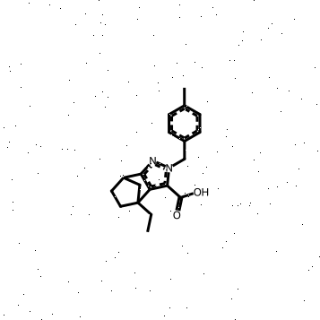 CCC12CCC(C1)c1nn(Cc3ccc(C)cc3)c(C(=O)O)c12